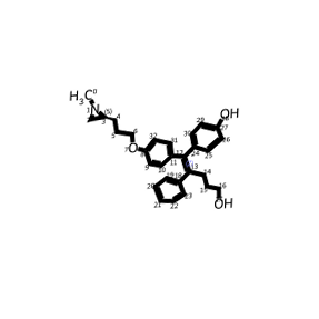 CN1C[C@@H]1CCCOc1ccc(/C(=C(/CCCO)c2ccccc2)c2ccc(O)cc2)cc1